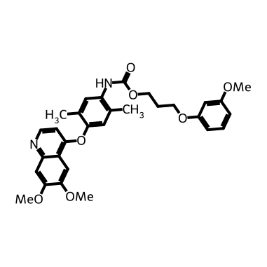 COc1cccc(OCCCOC(=O)Nc2cc(C)c(Oc3ccnc4cc(OC)c(OC)cc34)cc2C)c1